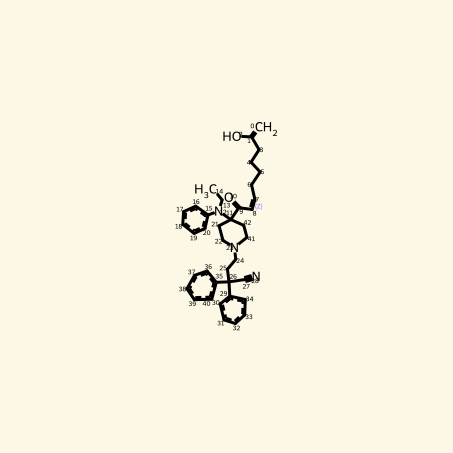 C=C(O)CCCC/C=C\C(=O)C1(N(CC)c2ccccc2)CCN(CCC(C#N)(c2ccccc2)c2ccccc2)CC1